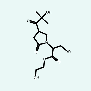 CC(C)CC(C(=O)OCCO)N1CC(C(=O)C(C)(C)O)CC1=O